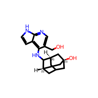 OCc1cnc2[nH]ccc2c1NC1[C@@H]2CC3C[C@H]1C[C@@](O)(C3)C2